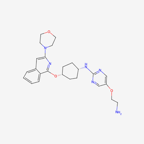 NCCOc1cnc(N[C@H]2CC[C@@H](Oc3nc(N4CCOCC4)cc4ccccc34)CC2)nc1